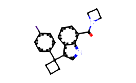 O=C(c1cccc2c(C3(c4ccc(I)cc4)CCC3)c[nH]c12)N1CCC1